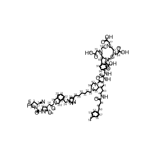 N#C[C@@H]1CC(F)(F)CN1C(=O)[C@@H]1C[C@@H](CC(=O)N2Cc3cccc(Cn4cc(CCCCCCN5CCN(C(=O)[C@@H](CCCCNC(=O)CCCc6ccc(I)cc6)NC(=S)Nc6ccc(CC7CN(CC(=O)O)CCN(CC(=O)O)CCN(CC(=O)O)CCN7CC(=O)O)cc6)CC5)nn4)c3C2)C(=O)N1